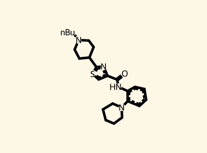 CCCCN1CCC(c2nc(C(=O)Nc3ccccc3N3CCCCC3)cs2)CC1